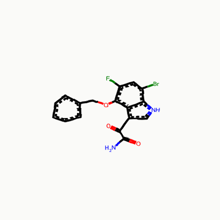 NC(=O)C(=O)c1c[nH]c2c(Br)cc(F)c(OCc3ccccc3)c12